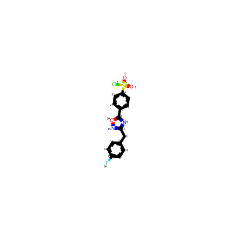 O=S(=O)(Cl)c1ccc(-c2nc(Cc3ccc(F)cc3)no2)cc1